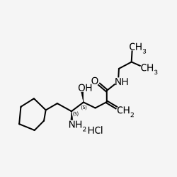 C=C(C[C@H](O)[C@@H](N)CC1CCCCC1)C(=O)NCC(C)C.Cl